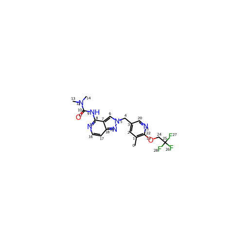 Cc1cc(Cn2cc3c(NC(=O)N(C)C)nccc3n2)cnc1OCC(F)(F)F